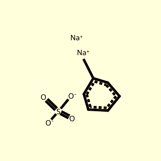 Cc1ccccc1.O=S(=O)([O-])[O-].[Na+].[Na+]